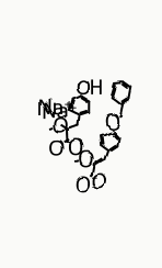 COC(=Cc1ccc(OCc2ccccc2)cc1)C(=O)[O-].COC(Cc1ccc(O)cc1)C(=O)[O-].[Na+].[Na+]